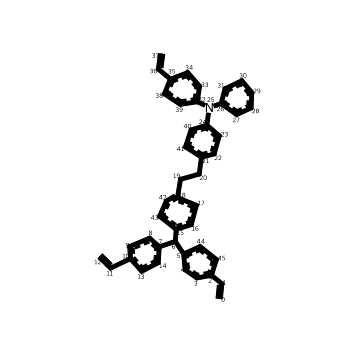 C=Cc1ccc(C(c2ccc(C=C)cc2)c2ccc(CCc3ccc(N(c4ccccc4)c4ccc(C=C)cc4)cc3)cc2)cc1